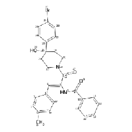 Cc1ccc(C=C(NC(=O)c2ccccc2)C(=O)N2CCC(O)(c3ccc(Br)cc3)CC2)cc1